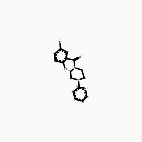 O=C(c1cc(Cl)ccc1C(F)(F)F)N1CCN(c2ccccn2)CC1